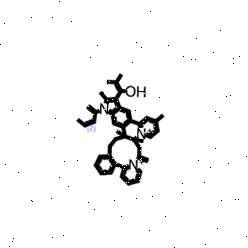 C=C(/C=C\C)n1c(C)c(C(O)=C(C)C)c2cc3c(cc21)C1(C)CCc2ccccc2-c2cccc[n+]2C(=C)CC1(C)[n+]1ccc(C)cc1-3